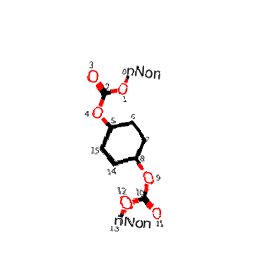 CCCCCCCCCOC(=O)OC1CCC(OC(=O)OCCCCCCCCC)CC1